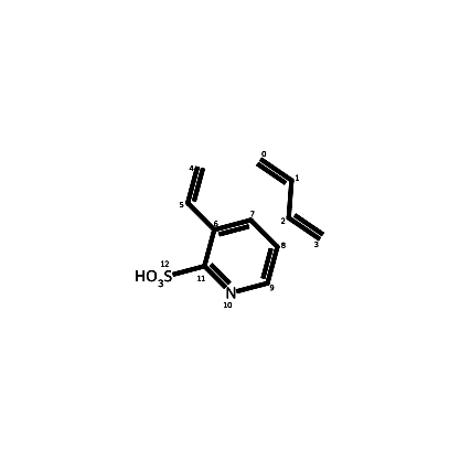 C=CC=C.C=Cc1cccnc1S(=O)(=O)O